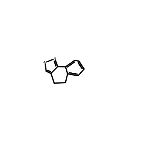 C1=C2CCc3ccccc3C2=N[N]1